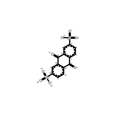 O=C1c2ccc(S(=O)(=O)Cl)cc2C(=O)c2cc(S(=O)(=O)Cl)ccc21